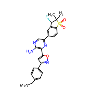 CNCc1ccc(-c2cc(-c3nc(-c4ccc5c(c4)[C@@H](F)C(C)(C)S5(=O)=O)cnc3N)on2)cc1